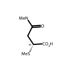 CNC(=O)C[C@@H](SC)C(=O)O